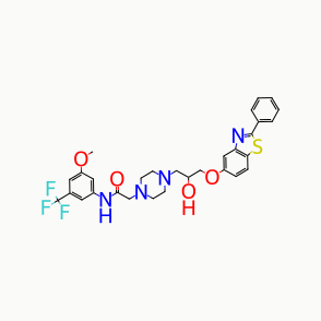 COc1cc(NC(=O)CN2CCN(CC(O)COc3ccc4sc(-c5ccccc5)nc4c3)CC2)cc(C(F)(F)F)c1